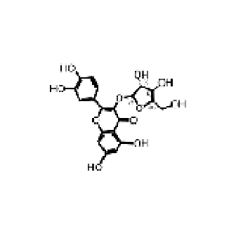 O=c1c(O[C@@H]2O[C@H](CO)[C@H](O)[C@H]2O)c(-c2ccc(O)c(O)c2)oc2cc(O)cc(O)c12